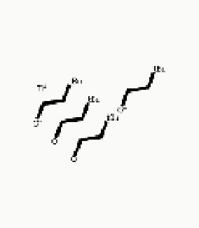 CC(C)(C)CC[O-].CC(C)(C)CC[O-].CC(C)(C)CC[O-].CC(C)(C)CC[O-].[Ti+4]